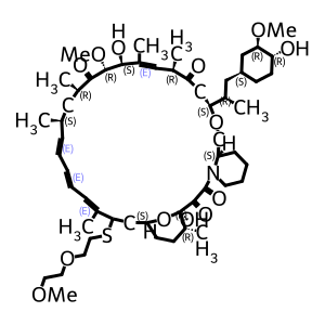 COCCOCCSC1C[C@@H]2CC[C@@H](C)[C@@](O)(O2)C(=O)C(=O)N2CCCC[C@H]2CO[C@H]([C@H](C)C[C@@H]2CC[C@@H](O)[C@H](OC)C2)CC(=O)[C@H](C)/C=C(\C)[C@H](O)[C@@H](OC)C(=O)[C@H](C)C[C@H](C)/C=C/C=C/C=C/1C